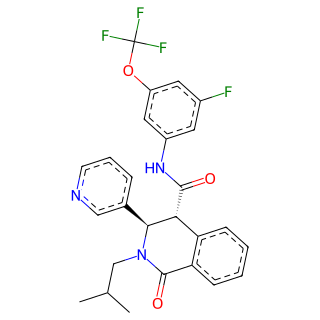 CC(C)CN1C(=O)c2ccccc2[C@@H](C(=O)Nc2cc(F)cc(OC(F)(F)F)c2)[C@@H]1c1cccnc1